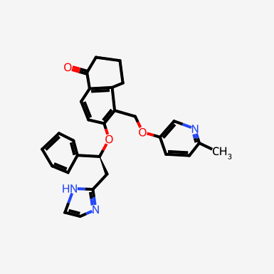 Cc1ccc(OCc2c(O[C@@H](Cc3ncc[nH]3)c3ccccc3)ccc3c2CCCC3=O)cn1